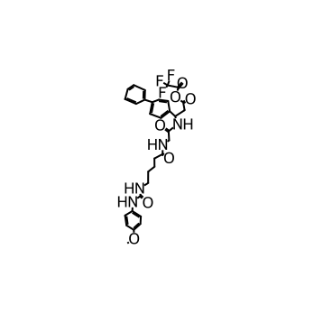 COc1ccc(NC(=O)NCCCCC(=O)NCC(=O)NC(CC(=O)OC(=O)C(F)(F)F)c2ccc(-c3ccccc3)cc2)cc1